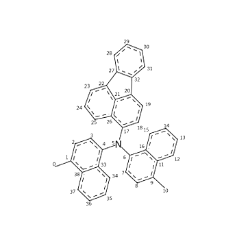 Cc1ccc(N(c2ccc(C)c3ccccc23)c2ccc3c4c(cccc24)-c2ccccc2-3)c2ccccc12